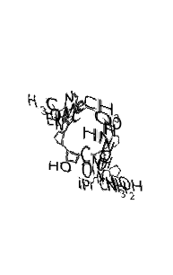 CCn1c(-c2cccnc2[C@H](C)OC)c2c3cc(ccc31)-c1cc(O)cc(c1)C[C@H](NC(=O)C(C(C)C)N(C)C(=O)[C@H]1CC[C@@H](O)[C@H]1N)C(=O)N1CCC[C@H](N1)C(=O)OCC(C)(C)C2